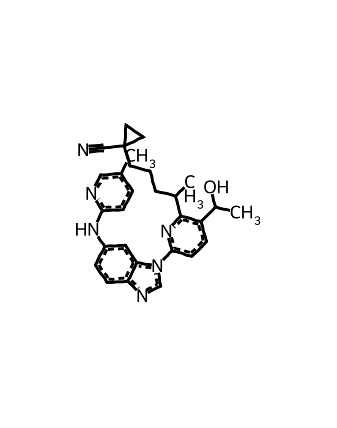 Cc1ccc(Nc2ccc3ncn(-c4ccc(C(C)O)c(C(C)CCCC5(C#N)CC5)n4)c3c2)nc1